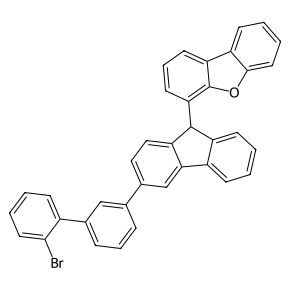 Brc1ccccc1-c1cccc(-c2ccc3c(c2)-c2ccccc2C3c2cccc3c2oc2ccccc23)c1